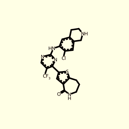 O=C1NCCCc2sc(-c3nc(Nc4cc5c(cc4Cl)CNCC5)ncc3C(F)(F)F)cc21